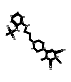 Cn1c(N2CCN(CCCOc3ccccc3OS(C)(=O)=O)CC2)cc(=O)n(C)c1=O